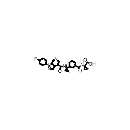 O=C(NC1(C(=O)O)CC1)c1cccc(C2(NC(=O)c3cncc4c3cnn4-c3ccc(F)cc3)CC2)c1